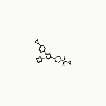 O=S(=O)(C1CC1)N1CCC(c2cc(-n3cccn3)n(-c3ccc(C4CC4)cn3)n2)CC1